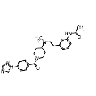 CC(=O)Nc1cccc(CCN(C)C2CCN(C(=O)c3ccc(-n4cncn4)cc3)CC2)c1